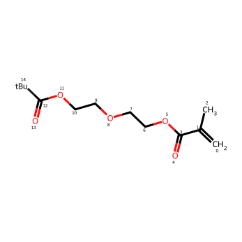 C=C(C)C(=O)OCCOCCOC(=O)C(C)(C)C